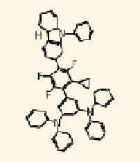 Fc1c(F)c(C2C=CC3=C(C2)N(c2ccccc2)C2C=CC=C[C@H]32)c(F)c(C2CC2)c1-c1cc(N(c2ccccc2)C2C=CC=CC2)cc(N(c2ccccc2)C2C=CC=CC2)c1